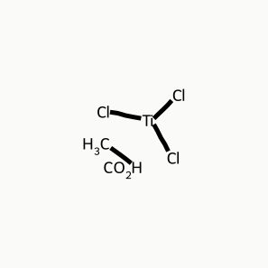 CC(=O)O.[Cl][Ti]([Cl])[Cl]